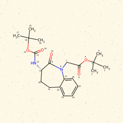 CC(C)(C)OC(=O)CN1C(=O)[C@@H](NC(=O)OC(C)(C)C)CCc2ccccc21